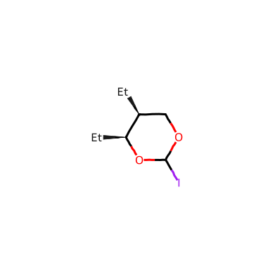 CC[C@H]1COC(I)O[C@H]1CC